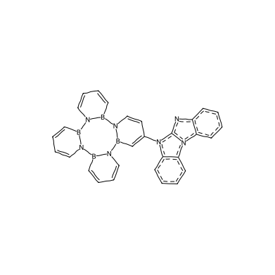 C1=CB2N(C=C1)B1C=CC=CN1B1C=C(n3c4ccccc4n4c5ccccc5nc34)C=CN1B1C=CC=CN21